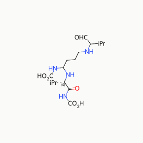 CC(C)C(C=O)NCCCC(NC(=O)O)N[C@H](C(=O)NC(=O)O)C(C)C